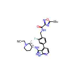 C[C@@H]1[C@H](Nc2n[nH]c3nccc(-c4ccc(CNC(=O)c5noc(C(C)(C)C)n5)c(F)c4)c23)CCCN1CC#N